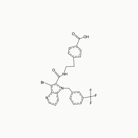 O=C(O)c1ccc(CCNC(=O)c2c(Br)c3ncccc3n2Cc2cccc(C(F)(F)F)c2)cc1